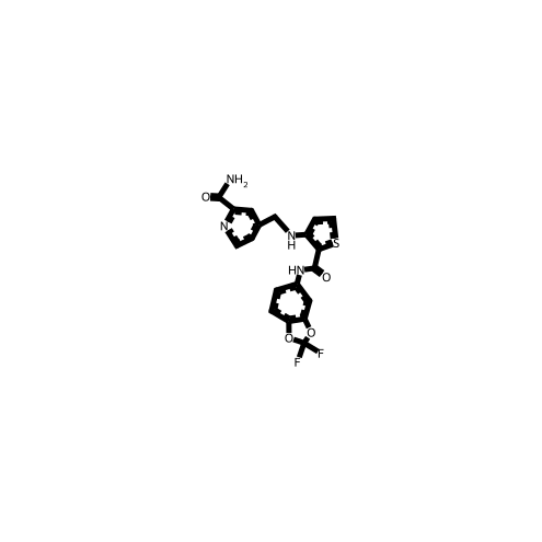 NC(=O)c1cc(CNc2ccsc2C(=O)Nc2ccc3c(c2)OC(F)(F)O3)ccn1